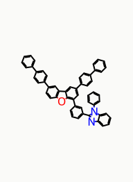 c1ccc(-c2ccc(-c3ccc4oc5c(-c6cccc(-c7nc8ccccc8n7-c7ccccc7)c6)cc(-c6ccc(-c7ccccc7)cc6)cc5c4c3)cc2)cc1